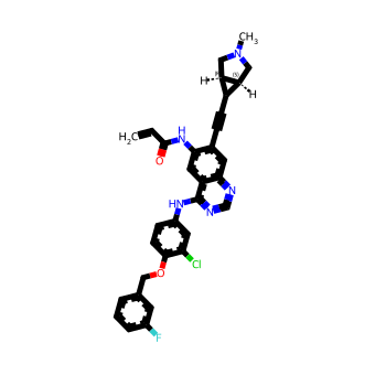 C=CC(=O)Nc1cc2c(Nc3ccc(OCc4cccc(F)c4)c(Cl)c3)ncnc2cc1C#CC1[C@H]2CN(C)C[C@@H]12